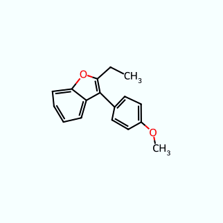 CCc1oc2ccccc2c1-c1ccc(OC)cc1